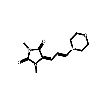 CN1C(=O)/C(=C\C=C\N2CCOCC2)N(C)C1=O